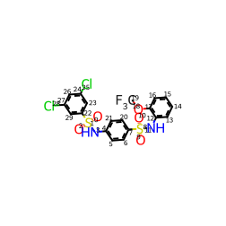 O=S(=O)(Nc1ccc(S(=O)(=O)Nc2ccccc2OC(F)(F)F)cc1)c1cc(Cl)cc(Cl)c1